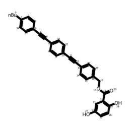 CCCCc1ccc(C#Cc2ccc(C#Cc3ccc(COC(=O)c4cc(O)ccc4O)cc3)cc2)cc1